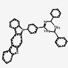 c1ccc(C2N=C(c3ccc(-n4c5ccccc5c5cc6c(cc54)sc4ccccc46)cc3)NC(c3ccccc3)N2)cc1